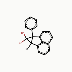 CCC1(c2ccccc2)C(Br)(Br)C1(c1ccccc1)c1ccccc1